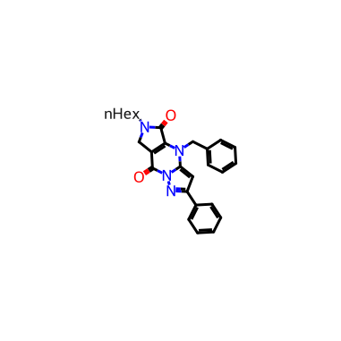 CCCCCCN1Cc2c(n(Cc3ccccc3)c3cc(-c4ccccc4)nn3c2=O)C1=O